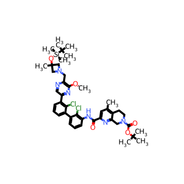 COc1nc(-c2cccc(-c3cccc(NC(=O)c4cc(C)c5c(n4)CN(C(=O)OC(C)(C)C)CC5)c3Cl)c2Cl)cnc1CN1CC(C)(O[Si](C)(C)C(C)(C)C)C1